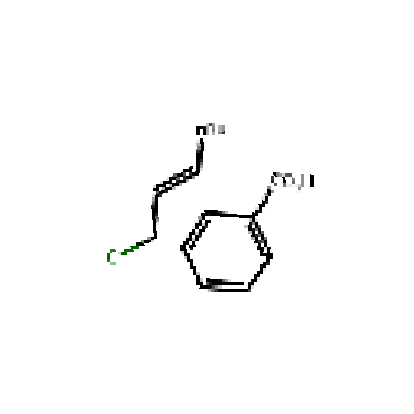 CCCCC=CCCl.O=C(O)c1ccccc1